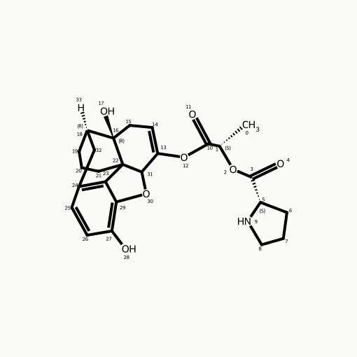 C[C@H](OC(=O)[C@@H]1CCCN1)C(=O)OC1=CC[C@@]2(O)[C@@H]3CCCC24c2c(ccc(O)c2OC14)C3